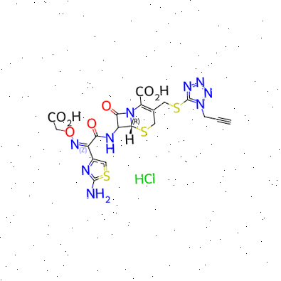 C#CCn1nnnc1SCC1=C(C(=O)O)N2C(=O)C(NC(=O)/C(=N\OCC(=O)O)c3csc(N)n3)[C@H]2SC1.Cl